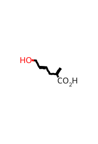 C=C(CC=CCO)C(=O)O